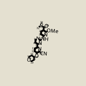 COc1nc(Nc2nccc(-c3ccc(OC4CCOCC4)c(C#N)n3)n2)ccc1C(=O)N(C)C